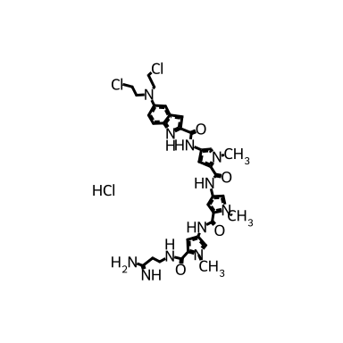 Cl.Cn1cc(NC(=O)c2cc(NC(=O)c3cc(NC(=O)c4cc5cc(N(CCCl)CCCl)ccc5[nH]4)cn3C)cn2C)cc1C(=O)NCCC(=N)N